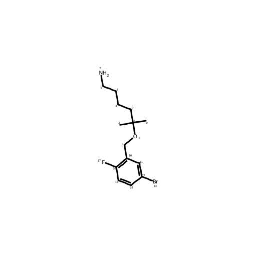 CC(C)(CCCCN)OCc1cc(Br)ccc1F